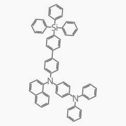 c1ccc(N(c2ccccc2)c2ccc(N(c3ccc(-c4ccc([Si](c5ccccc5)(c5ccccc5)c5ccccc5)cc4)cc3)c3cccc4ccccc34)cc2)cc1